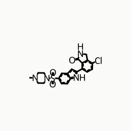 CN1CCN(S(=O)(=O)c2ccc3[nH]c(-c4ccc(Cl)c5c4C(=O)NC5)cc3c2)CC1